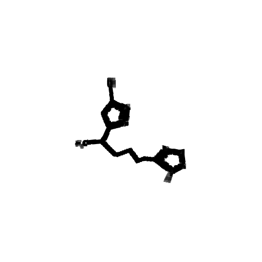 CC(CCCc1nnn[nH]1)c1cc(O)ns1